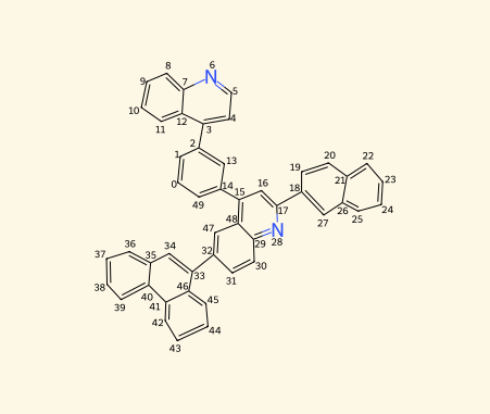 c1cc(-c2ccnc3ccccc23)cc(-c2cc(-c3ccc4ccccc4c3)nc3ccc(-c4cc5ccccc5c5ccccc45)cc23)c1